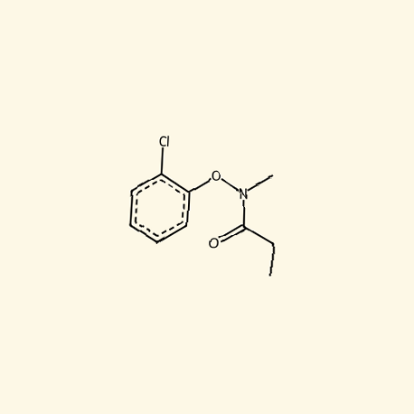 CCC(=O)N(C)Oc1ccccc1Cl